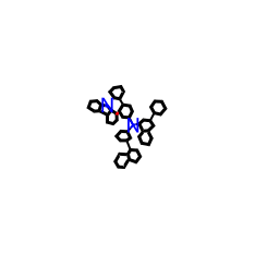 c1ccc(-c2cc(N(c3ccc(-c4ccccc4-n4c5ccccc5c5ccccc54)cc3)c3cccc(-c4cccc5ccccc45)c3)c3ccccc3c2)cc1